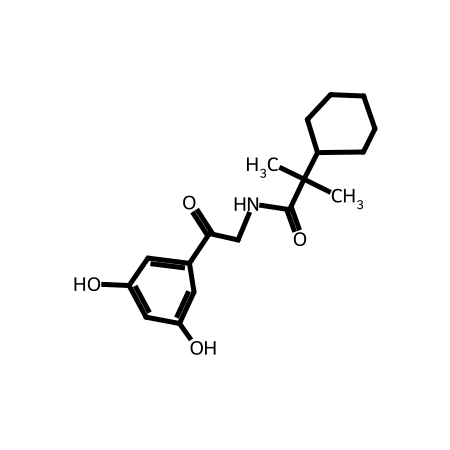 CC(C)(C(=O)NCC(=O)c1cc(O)cc(O)c1)C1CCCCC1